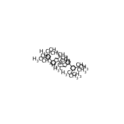 CC1=Cc2c(-c3cc(C(C)(C)C)cc(C(C)(C)C)c3)cccc2C1[Si](C)(C)C1C(C(C)C)=Cc2c(-c3cc(C(C)(C)C)cc(C(C)(C)C)c3)cccc21